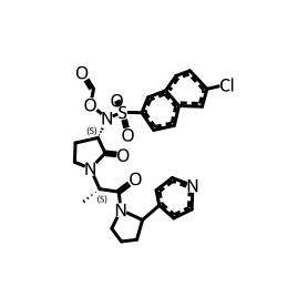 C[C@@H](C(=O)N1CCCC1c1ccncc1)N1CC[C@H](N(OC=O)S(=O)(=O)c2ccc3cc(Cl)ccc3c2)C1=O